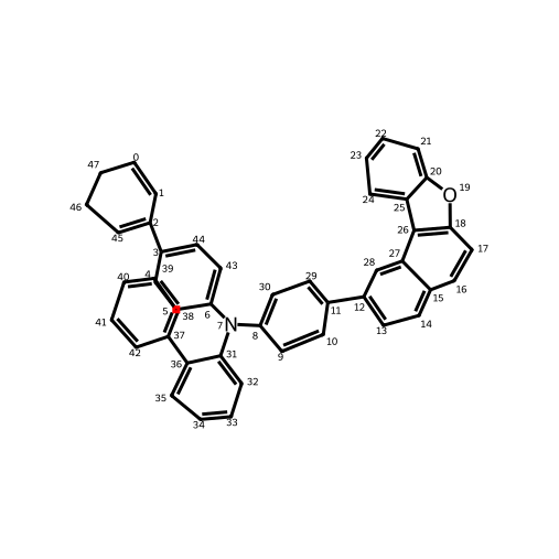 C1=CC(c2ccc(N(c3ccc(-c4ccc5ccc6oc7ccccc7c6c5c4)cc3)c3ccccc3-c3ccccc3)cc2)=CCC1